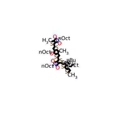 CCCCCCCCOc1c2cc(-c3sc(C)c4c3C(=O)N(CCCCCCCC)C4=O)sc2c(C)c2cc(-c3sc(-c4cc5c(s4)-c4sc(C)cc4[Si]5(CC(CC)CCCC)CC(CC)CCCC)c4c3C(=O)N(CCCCCCCC)C4=O)sc12